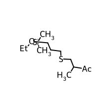 CCO[Si](C)(C)CCCSCC(C)C(C)=O